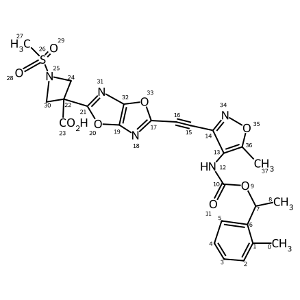 Cc1ccccc1C(C)OC(=O)Nc1c(C#Cc2nc3oc(C4(C(=O)O)CN(S(C)(=O)=O)C4)nc3o2)noc1C